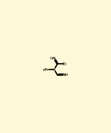 CCCN(C=N)C(=N)CC